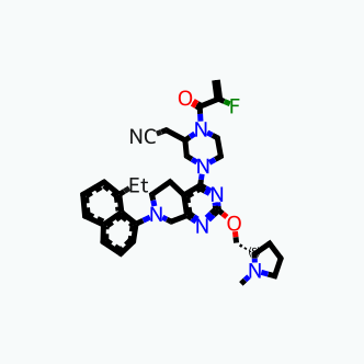 C=C(F)C(=O)N1CCN(c2nc(OC[C@@H]3CCCN3C)nc3c2CCN(c2cccc4cccc(CC)c24)C3)CC1CC#N